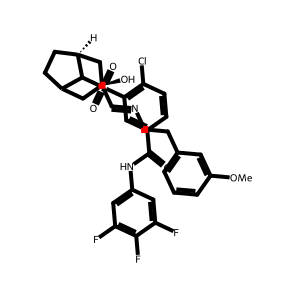 COc1cccc(CO/N=C/[C@]2(O)CC3CC[C@@H](C2)C3S(=O)(=O)c2cc(C(=O)Nc3cc(F)c(F)c(F)c3)ccc2Cl)c1